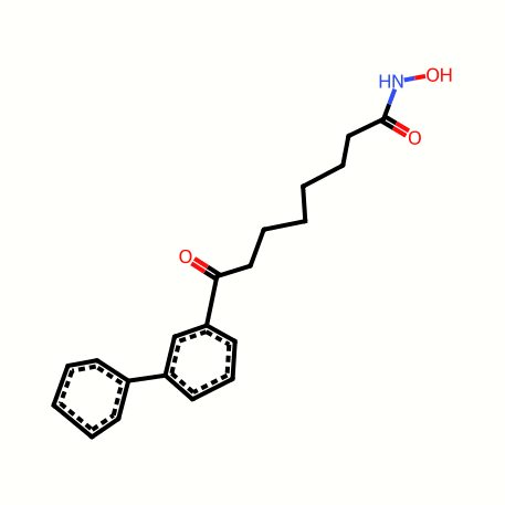 O=C(CCCCCCC(=O)c1cccc(-c2ccccc2)c1)NO